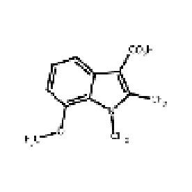 Cn1c(C(F)(F)F)c(C(=O)O)c2cccc(OC(F)(F)F)c21